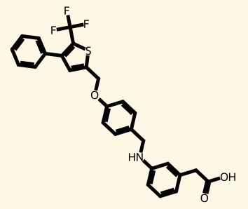 O=C(O)Cc1cccc(NCc2ccc(OCc3cc(-c4ccccc4)c(C(F)(F)F)s3)cc2)c1